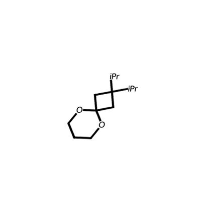 CC(C)C1(C(C)C)CC2(C1)OCCCO2